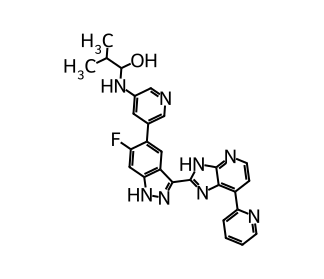 CC(C)C(O)Nc1cncc(-c2cc3c(-c4nc5c(-c6ccccn6)ccnc5[nH]4)n[nH]c3cc2F)c1